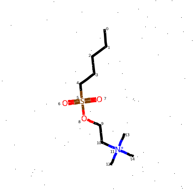 CCCCCS(=O)(=O)OCC[N+](C)(C)C